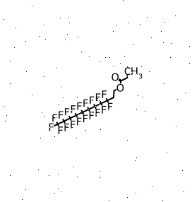 CCC(=O)OCCC(F)(F)C(F)(F)C(F)(F)C(F)(F)C(F)(F)C(F)(F)C(F)(F)C(F)(F)C(F)(F)F